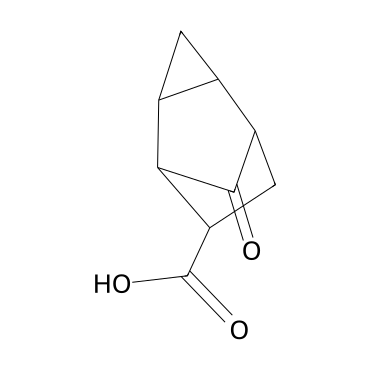 O=C(O)C1CC2C(=O)C1C1CC21